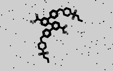 CCCS(=O)(=O)N1CCN(Cc2ccc(-c3cc(C(N)=O)ccc3-c3ccc(C(N)=O)cc3-c3ccc(CN4CCN(S(=O)(=O)CCC)CC4)cc3)cc2)CC1